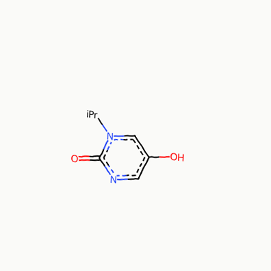 CC(C)n1cc(O)cnc1=O